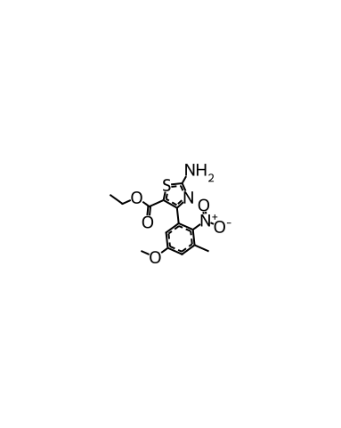 CCOC(=O)c1sc(N)nc1-c1cc(OC)cc(C)c1[N+](=O)[O-]